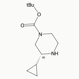 CC(C)(C)OC(=O)N1CCN[C@H](C2CC2)C1